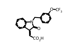 O=C(O)C=C1C(=O)N(Cc2cccc(OC(F)(F)F)c2)c2ccccc21